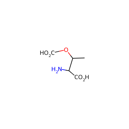 CC(OC(=O)O)C(N)C(=O)O